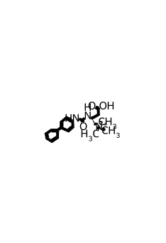 C[N+](C)(C)C[C@@H](CC(=O)O)NC(=O)Nc1ccc(-c2ccccc2)cc1